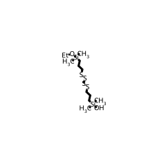 CCO[Si](C)(C)CCCSSSSCCC[Si](C)(C)O